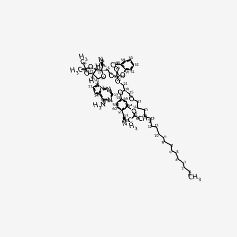 CCCCCCCCCCCCCCCCCCOC[C@H](COP(=O)(OC[C@@]1(C#N)O[C@@H](c2ccc3c(N)ncnn23)[C@@H]2OC(C)(C)O[C@@H]21)Oc1ccccc1Cl)Oc1ccc(C#N)c(OC(C)C)c1